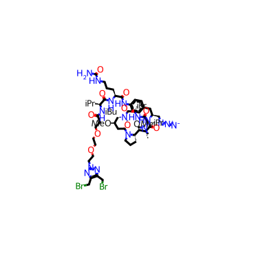 CC[C@H](C)[C@@H]([C@@H](CC(=O)N1CCC[C@H]1[C@H](OC)[C@@H](C)C(=O)N[C@H](CN=[N+]=[N-])Cc1ccc(NC(=O)[C@H](CCCNC(N)=O)NC(=O)[C@@H](NC(=O)CCOCCOCCn2nc(CBr)c(CBr)n2)C(C)C)cc1)OC)N(C)C(=O)[C@@H](NC(=O)[C@H](C(C)C)N(C)C)C(C)C